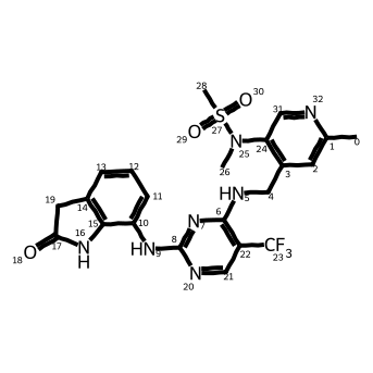 Cc1cc(CNc2nc(Nc3cccc4c3NC(=O)C4)ncc2C(F)(F)F)c(N(C)S(C)(=O)=O)cn1